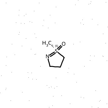 C[S@@]1(=O)=NCCC1